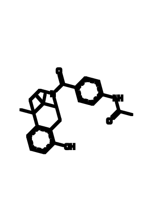 CC(=O)Nc1ccc(C(=O)N2CCC3(C)c4cccc(O)c4CC2C3(C)C)cc1